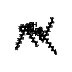 CCCCCCCCc1cccc(OP(=O)(O)OCC(C)OP(=O)(O)Oc2cccc(CCCCCCCC)c2CCCCCCCC)c1CCCCCCCC